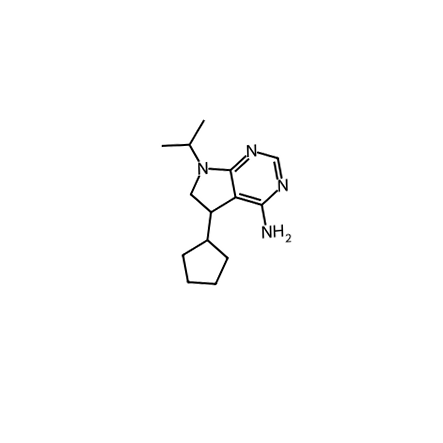 CC(C)N1CC(C2CCCC2)c2c(N)ncnc21